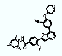 COc1cc(C(=O)N[C@H]2[C@H](C)CN(C)C[C@@H]2C)ccc1-c1cc2nccc(-c3ccc(OC4CCOCC4)c(C#N)c3)c2o1